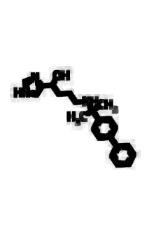 CC(C)(NCCCC(O)c1c[nH]cn1)c1ccc(-c2ccccc2)cc1